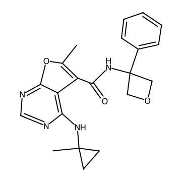 Cc1oc2ncnc(NC3(C)CC3)c2c1C(=O)NC1(c2ccccc2)COC1